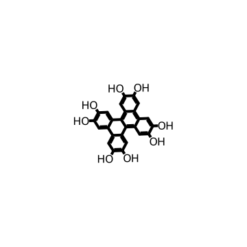 Oc1cc2c3cc(O)c(O)cc3c3c4cc(O)c(O)cc4c4cc(O)c(O)cc4c3c2cc1O